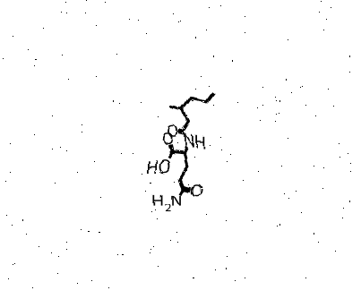 CCCC(C)CC(=O)NC(CCC(N)=O)C(=O)O